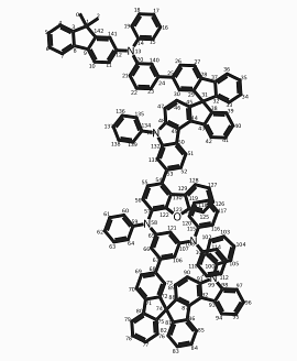 CC1(C)c2ccccc2-c2ccc(N(c3ccccc3)c3cccc(-c4ccc5c(c4)C4(c6ccccc6-5)c5ccccc5-c5c4ccc4c5c5ccc(-c6ccc(N(c7ccccc7)c7cc(-c8ccc9c(c8)C8(c%10ccccc%10-9)c9ccccc9-c9c8ccc8c9c9ccccc9n8-c8ccccc8)cc(N(c8ccccc8)c8ccccc8)c7)c7oc8ccccc8c67)cc5n4-c4ccccc4)c3)cc21